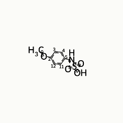 COc1ccc(NS(=O)(=O)O)cc1